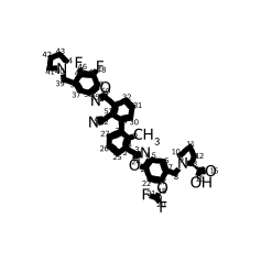 Cc1c(-c2nc3cc(CN4CCC[C@H]4C(=O)O)c(OC(F)F)cc3o2)cccc1-c1cccc(-c2nc3cc(CN4CCCC4)c(F)c(F)c3o2)c1C#N